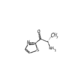 C[C@H](N)C(=O)c1nccs1